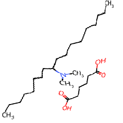 CCCCCCCCCC(CCCCCCCC)N(C)C.O=C(O)CCCCC(=O)O